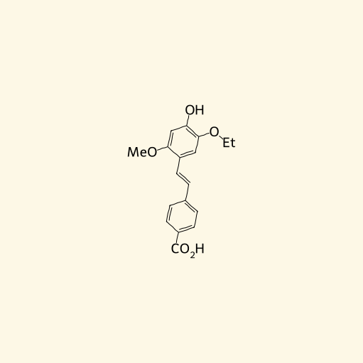 CCOc1cc(/C=C/c2ccc(C(=O)O)cc2)c(OC)cc1O